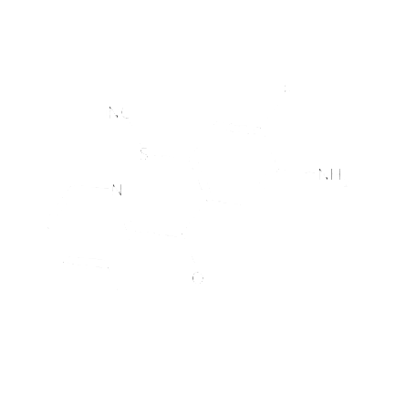 Cc1cccnc1C(=O)c1cc(N)c(F)cc1SC#N